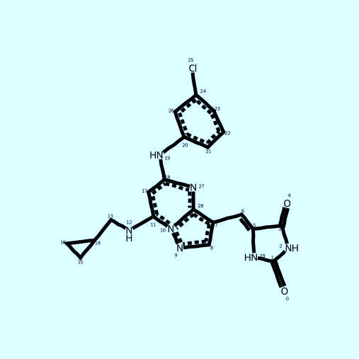 O=C1NC(=O)/C(=C/c2cnn3c(NCC4CC4)cc(Nc4cccc(Cl)c4)nc23)N1